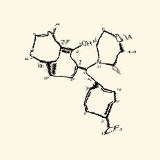 Oc1c(C(c2ccc(C(F)(F)F)cc2)N2CCOCC2)ccc2scnc12